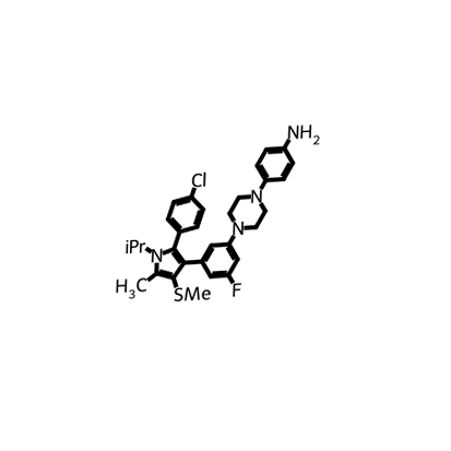 CSc1c(-c2cc(F)cc(N3CCN(c4ccc(N)cc4)CC3)c2)c(-c2ccc(Cl)cc2)n(C(C)C)c1C